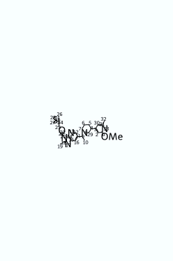 COc1cc(C2CCCN(C(C)c3cnc4c(c3)nc(C)n4COCC[Si](C)(C)C)C2)cc(C)n1